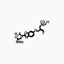 CNC(=O)CN(C)c1nc2ccc(OC/C(=C\F)CNC(=O)O)cc2o1